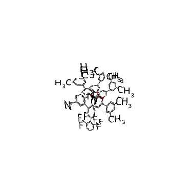 Cc1cc(C)cc(-c2ccc3c(c2)c2cc(-c4cc(C)cc(C)c4)ccc2n3-c2ccc(C#N)cc2-c2cc(-c3c(C(F)(F)F)cccc3C(F)(F)F)ccc2-n2c3ccc(-c4cc(C)cc(C)c4)cc3c3cc(-c4cc(C)cc(C)c4)ccc32)c1